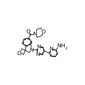 Nc1cccc(-c2cnc(N3CC4(COC4)c4ccc(C(=O)N5CCOCC5)cc43)nc2)n1